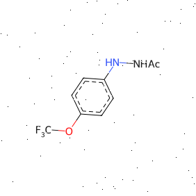 CC(=O)NNc1ccc(OC(F)(F)F)cc1